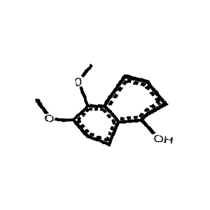 COc1ccc2c(O)cccc2c1OC